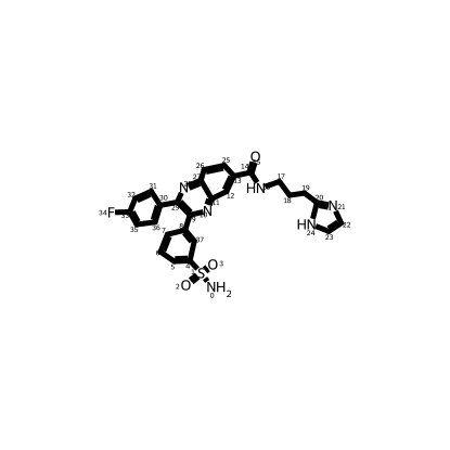 NS(=O)(=O)c1cccc(-c2nc3cc(C(=O)NCCCc4ncc[nH]4)ccc3nc2-c2ccc(F)cc2)c1